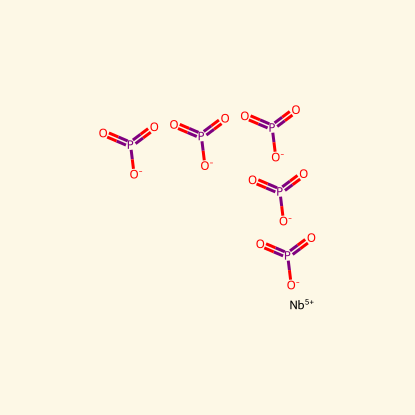 O=P(=O)[O-].O=P(=O)[O-].O=P(=O)[O-].O=P(=O)[O-].O=P(=O)[O-].[Nb+5]